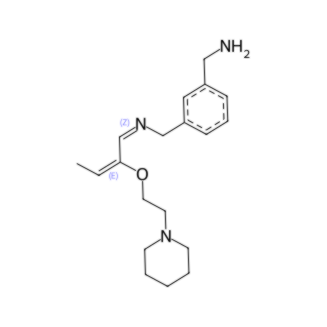 C/C=C(\C=N/Cc1cccc(CN)c1)OCCN1CCCCC1